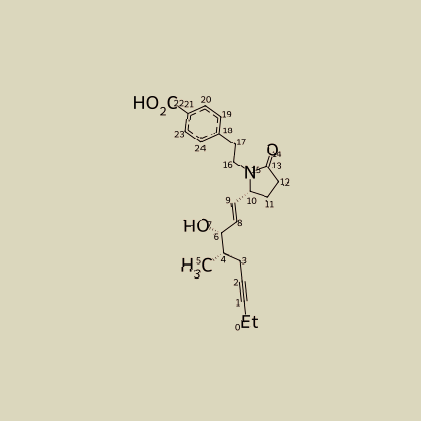 CCC#CC[C@H](C)[C@H](O)C=C[C@H]1CCC(=O)N1CCc1ccc(C(=O)O)cc1